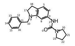 O=C(Nc1ccc2c(c1)N(Cc1ccccc1)CC2)N1[CH]CCC1